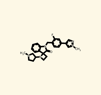 CN1CCC(N2CCC23C(=O)N(Cc2ccc(-c4cnn(C)c4)cc2F)c2ccccc23)C1